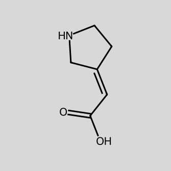 O=C(O)C=C1CCNC1